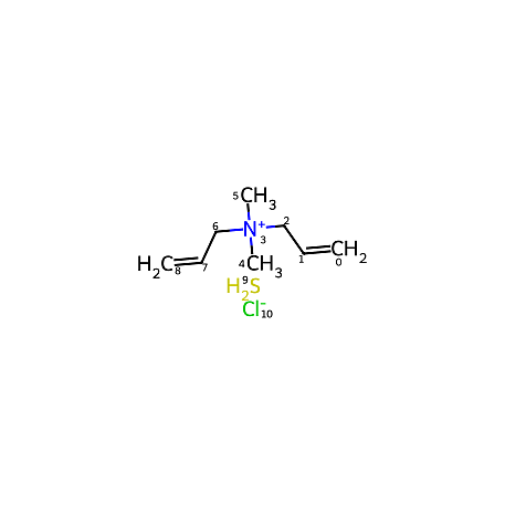 C=CC[N+](C)(C)CC=C.S.[Cl-]